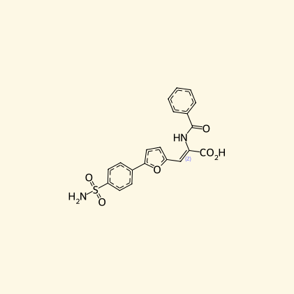 NS(=O)(=O)c1ccc(-c2ccc(/C=C(\NC(=O)c3ccccc3)C(=O)O)o2)cc1